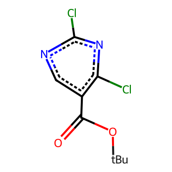 CC(C)(C)OC(=O)c1cnc(Cl)nc1Cl